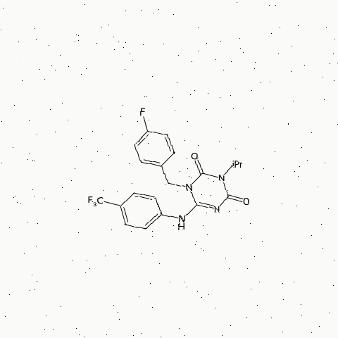 CC(C)n1c(=O)nc(Nc2ccc(C(F)(F)F)cc2)n(Cc2ccc(F)cc2)c1=O